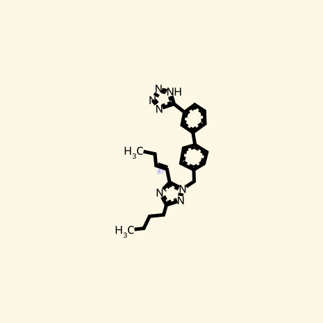 CC/C=C/c1nc(CCCC)nn1Cc1ccc(-c2cccc(-c3nnn[nH]3)c2)cc1